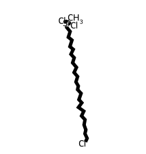 C[Si](Cl)(Cl)CCCCCCCCCCCCCCCCCCCCCCCCCCCl